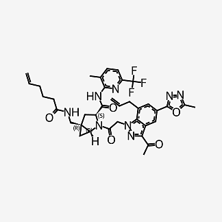 C=CCCCC(=O)NC[C@@]12C[C@@H](C(=O)Nc3nc(C(F)(F)F)ccc3C)N(C(=O)Cn3nc(C(C)=O)c4cc(-c5nnc(C)o5)cc(CC=C)c43)[C@@H]1C2